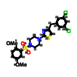 COc1ccc(OC)c(S(=O)(=O)N2CCN(c3nc(Cc4cc(Cl)cc(Cl)c4)cs3)CC2)c1